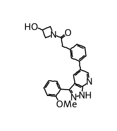 COc1ccccc1-c1n[nH]c2ncc(-c3cccc(CC(=O)N4CC(O)C4)c3)cc12